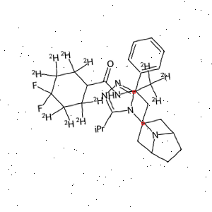 [2H]C([2H])([2H])c1nnc(C(C)C)n1C1CC2CCC(C1)N2CCC(NC(=O)C1C([2H])([2H])C([2H])([2H])C(F)(F)C([2H])([2H])C1([2H])[2H])c1ccccc1